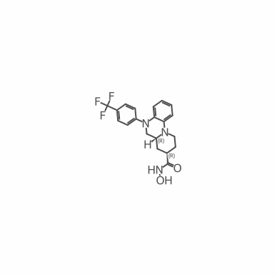 O=C(NO)[C@@H]1CCN2c3ccccc3N(c3ccc(C(F)(F)F)cc3)C[C@H]2C1